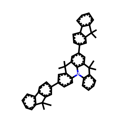 CC1(C)c2ccccc2-c2ccc(-c3ccc4c(c3)C(C)(C)c3cc(-c5ccc6c(c5)C(C)(C)c5ccccc5-6)cc5c3N4c3ccccc3C5(C)C)cc21